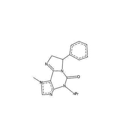 CCCN1C(=O)N2C(=NCC2c2ccccc2)c2c1ncn2C